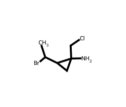 CC(Br)C1CC1(N)CCl